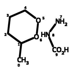 CC1CCCOO1.NNC(=O)O